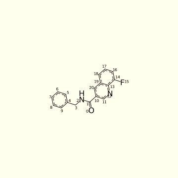 O=C(NCc1ccccc1)c1cnc2c(F)cccc2c1